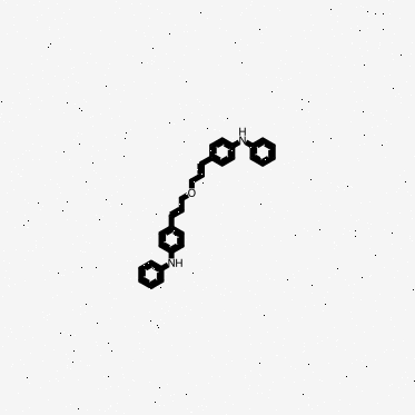 C(=Cc1ccc(Nc2ccccc2)cc1)COCC=Cc1ccc(Nc2ccccc2)cc1